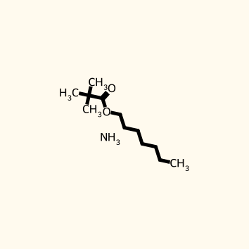 CCCCCCCOC(=O)C(C)(C)C.N